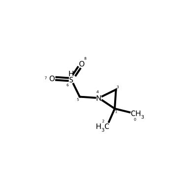 CC1(C)CN1C[SH](=O)=O